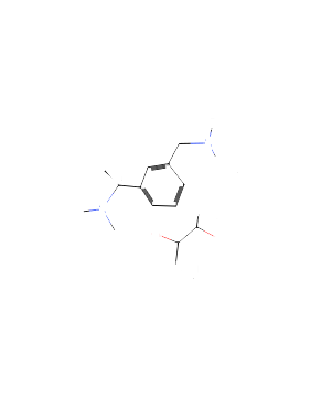 CCN(Cc1cccc([C@H](C)N(C)C)c1)C(=O)O.O=C(O)C(O)C(O)C(=O)O